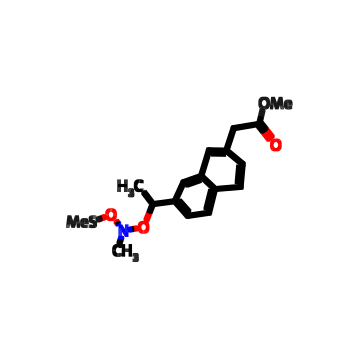 COC(=O)Cc1ccc2ccc(C(C)ON(C)OSC)cc2c1